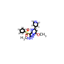 CNc1nn2c(OC)cc(-c3ccncc3)nc2c1S(=O)(=O)c1ccccc1